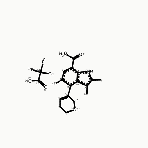 Cc1[nH]c2c(C(N)=O)cc(F)c(C3=CCCNC3)c2c1C.O=C(O)C(F)(F)F